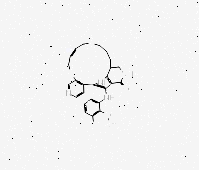 COc1c(F)cccc1Nc1c2[nH]c3c1C(=O)NCC3CCCOC/C=C\COc1cnccc1-2